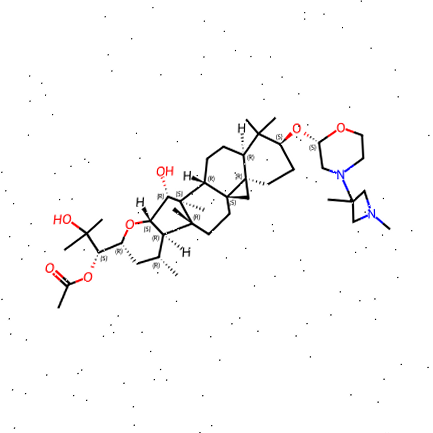 CC(=O)O[C@@H]([C@H]1C[C@@H](C)[C@H]2[C@H](O1)[C@H](O)[C@@]1(C)[C@@H]3CC[C@H]4C(C)(C)[C@@H](O[C@H]5CN(C6(C)CN(C)C6)CCO5)CC[C@@]45C[C@@]35CC[C@]21C)C(C)(C)O